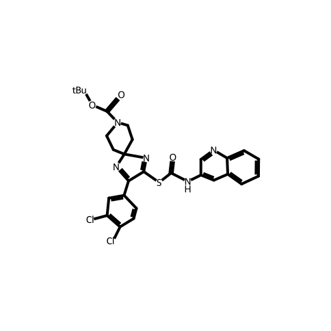 CC(C)(C)OC(=O)N1CCC2(CC1)N=C(SC(=O)Nc1cnc3ccccc3c1)C(c1ccc(Cl)c(Cl)c1)=N2